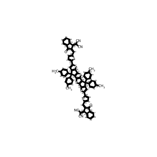 Cc1ccc(C2(c3ccc(C)cc3)c3cc(-c4ccc(/C=C5\C(=O)c6ccccc6C5=C(C#N)C#N)s4)sc3-c3sc4c5c(sc4c32)-c2sc(-c3ccc(/C=C4\C(=O)c6ccccc6C4=C(C#N)C#N)s3)cc2C5(c2ccc(C)cc2)c2ccc(C)cc2)cc1